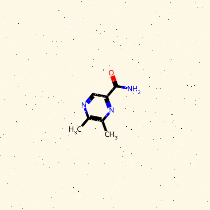 Cc1ncc(C(N)=O)nc1C